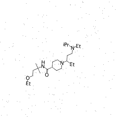 CCOCCC(C)(C)NC(=O)C1CCN(C(CC)CCN(CC)C(C)C)CC1